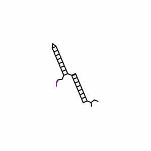 CCC(C)C1CC2C1C1C2C2C3C4C5C(C6C(CCI)C7C6C6C7C7C8C9C%10C%11CC%11C%10C9C8C67)=CC5C4C3C12